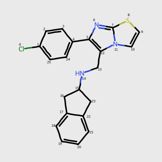 Clc1ccc(-c2nc3sccn3c2CNC2Cc3ccccc3C2)cc1